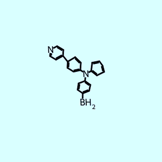 Bc1ccc(N(c2ccccc2)c2ccc(-c3ccncc3)cc2)cc1